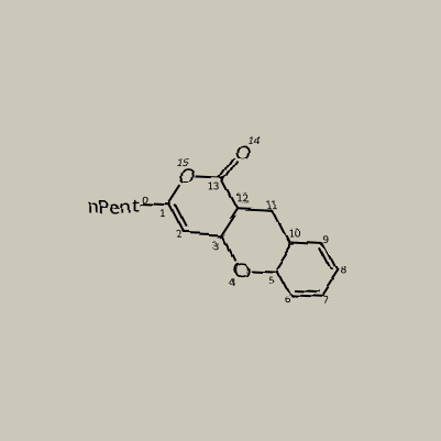 CCCCCC1=CC2OC3C=CC=CC3CC2C(=O)O1